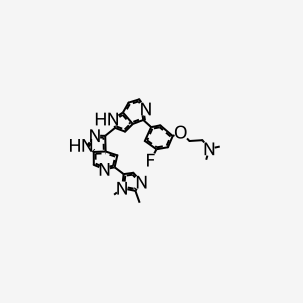 Cc1ncc(-c2cc3c(-c4cc5c(-c6cc(F)cc(OCCN(C)C)c6)nccc5[nH]4)n[nH]c3cn2)n1C